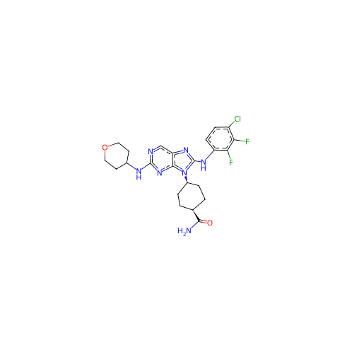 NC(=O)[C@H]1CC[C@@H](n2c(Nc3ccc(Cl)c(F)c3F)nc3cnc(NC4CCOCC4)nc32)CC1